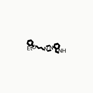 CCc1ccccc1OCCCCN1CCN(c2cccc3[nH]ccc23)CC1